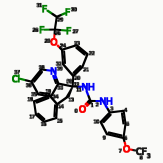 O=C(Nc1ccc(OC(F)(F)F)cc1)N[C@@](Cc1ccccc1)(c1cccc(OC(F)(F)C(F)F)c1)c1ccc(Cl)cn1